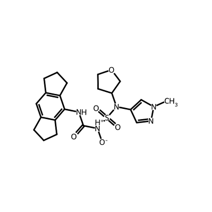 Cn1cc(N(C2CCOC2)S(=O)(=O)[NH+]([O-])C(=O)Nc2c3c(cc4c2CCC4)CCC3)cn1